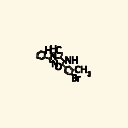 CCC(C(=N)C(=O)c1ccc(Br)c(C)c1)c1ncc(-c2ccccc2)[nH]1